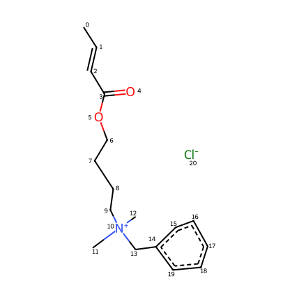 CC=CC(=O)OCCCC[N+](C)(C)Cc1ccccc1.[Cl-]